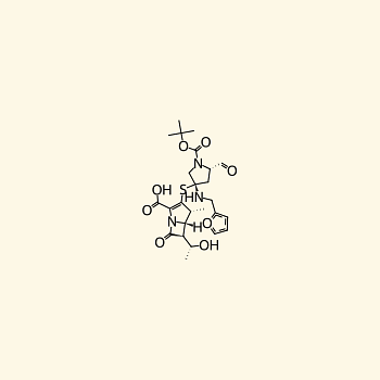 C[C@@H](O)[C@H]1C(=O)N2C(C(=O)O)=C(S[C@@]3(NCc4ccco4)C[C@@H](C=O)N(C(=O)OC(C)(C)C)C3)[C@H](C)[C@H]12